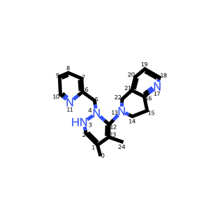 CC1=CNN(Cc2ccccn2)C(N2CCc3ncccc3C2)=C1C